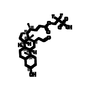 C[C@H](CCC(=O)OCC(F)(F)S(=O)(=O)O)[C@H]1CC[C@H]2[C@@H]3CCC4C[C@H](O)CC[C@]4(C)[C@H]3C[C@H](CC=O)[C@]12C